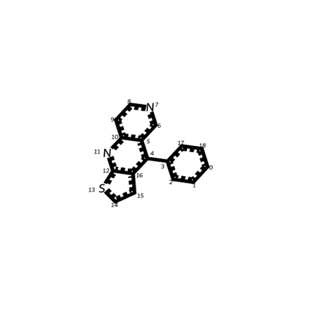 c1ccc(-c2c3cnccc3nc3sccc23)cc1